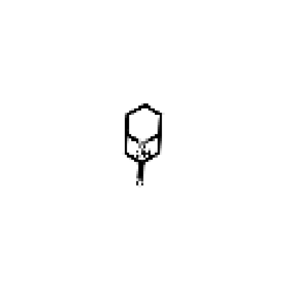 O=C1CC2CCCC(C1)N2O